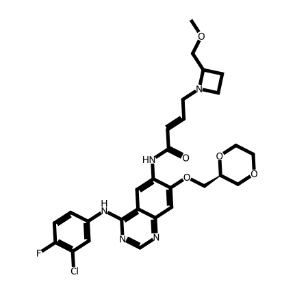 COCC1CCN1CC=CC(=O)Nc1cc2c(Nc3ccc(F)c(Cl)c3)ncnc2cc1OC[C@@H]1COCCO1